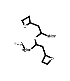 CCCCCCCCCC(CC1CCO1)OC(CCCCCCCCC)CC1CCO1.O=S(=O)(O)O